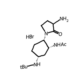 Br.CC(=O)N[C@@H]1C[C@H](NC(C)(C)C)CC[C@@H]1N1CCC(N)C1=O